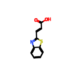 O=C(O)/C=C/c1nc2ccccc2s1